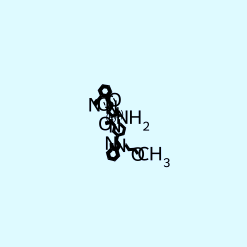 COCCCn1c(C2CCCN(C(=O)[C@@H]3CN(S(=O)(=O)c4ccccc4C#N)C[C@H]3N)C2)nc2ccccc21